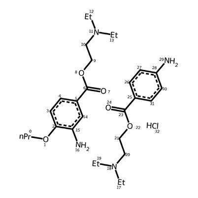 CCCOc1ccc(C(=O)OCCN(CC)CC)cc1N.CCN(CC)CCOC(=O)c1ccc(N)cc1.Cl